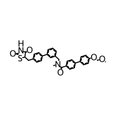 COCOc1ccc(-c2ccc(C(=O)N(C)Cc3cccc(-c4ccc(CC5SC(=O)NC5=O)cc4)c3)cc2)cc1